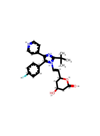 CC(C)(C)c1nc(-c2ccncc2)c(-c2ccc(F)cc2)n1/C=C/C1CC(O)CC(=O)O1